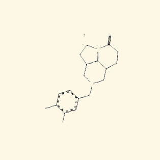 CC(C)[C@H]1CC2CN(Cc3ccc(Cl)c(C(F)(F)F)c3)C[C@H]3CCC(=O)N1C23